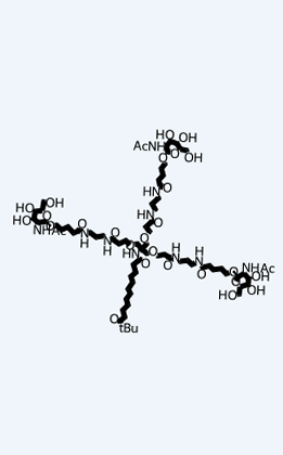 CC(=O)NC1[C@H](OCCCCC(=O)NCCCNC(=O)CCOCC(COCCC(=O)NCCCNC(=O)CCCCO[C@@H]2OC(CO)[C@@H](O)[C@H](O)C2NC(C)=O)(COCCC(=O)NCCCNC(=O)CCCCO[C@@H]2OC(CO)[C@@H](O)[C@H](O)C2NC(C)=O)NC(=O)CCCCCCCCCCC(=O)C(C)(C)C)OC(CO)[C@@H](O)[C@@H]1O